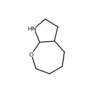 C1CCC2CCNC2OC1